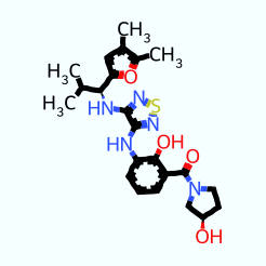 Cc1cc([C@H](Nc2nsnc2Nc2cccc(C(=O)N3CC[C@@H](O)C3)c2O)C(C)C)oc1C